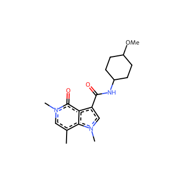 COC1CCC(NC(=O)c2cn(C)c3c(C)cn(C)c(=O)c23)CC1